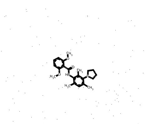 COc1cccc(OC)c1C(=O)Nc1c(C)cc(C)c(N2CCCC2)c1C